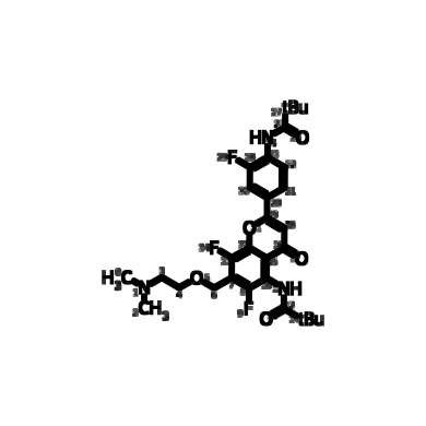 CN(C)CCOCc1c(F)c(NC(=O)C(C)(C)C)c2c(=O)cc(-c3ccc(NC(=O)C(C)(C)C)c(F)c3)oc2c1F